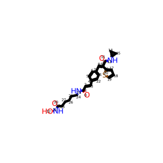 O=C(C=Cc1ccc(C=C(C(=O)NC2CC2)c2cccs2)cc1)NCCCCCC(=O)NO